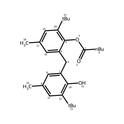 CCCCC(=O)Oc1c(Cc2cc(C)cc(C(C)(C)C)c2O)cc(C)cc1C(C)(C)C